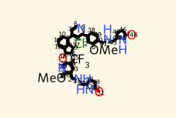 COc1cc(-c2nccc(-c3cccc4c3CC[C@H]4Oc3nc(OC)c(CNCC4CCC(=O)N4)cc3C(F)(F)F)c2Cl)ccc1CNCC1CCC(=O)N1